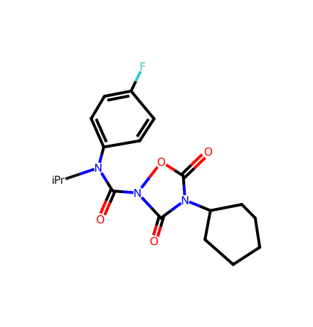 CC(C)N(C(=O)n1oc(=O)n(C2CCCCC2)c1=O)c1ccc(F)cc1